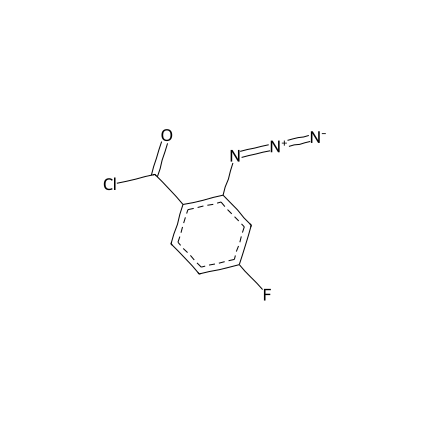 [N-]=[N+]=Nc1cc(F)ccc1C(=O)Cl